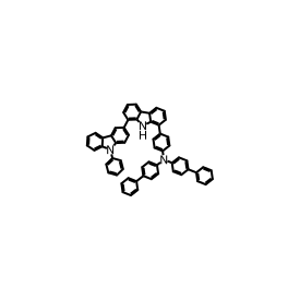 c1ccc(-c2ccc(N(c3ccc(-c4ccccc4)cc3)c3ccc(-c4cccc5c4[nH]c4c(-c6ccc7c(c6)c6ccccc6n7-c6ccccc6)cccc45)cc3)cc2)cc1